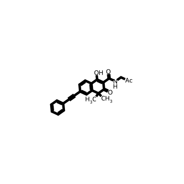 CC(=O)CNC(=O)C1=C(O)c2ccc(C#Cc3ccccc3)cc2C(C)(C)C1=O